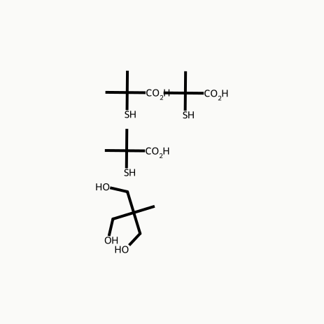 CC(C)(S)C(=O)O.CC(C)(S)C(=O)O.CC(C)(S)C(=O)O.CC(CO)(CO)CO